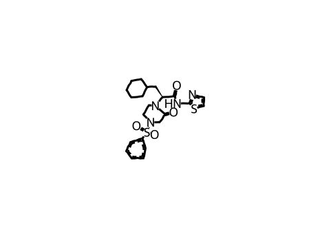 O=C(Nc1nccs1)[C@H](CC1CCCCC1)N1CCN(S(=O)(=O)c2ccccc2)CC1=O